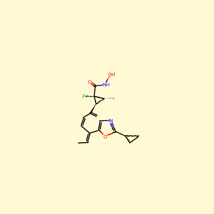 C=C(/C=C\C(=C/C)c1cnc(C2CC2)o1)[C@@H]1[C@@H](C)[C@@]1(F)C(=O)NO